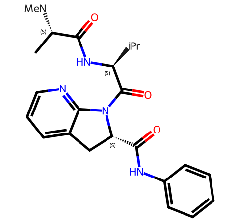 CN[C@@H](C)C(=O)N[C@H](C(=O)N1c2ncccc2C[C@H]1C(=O)Nc1ccccc1)C(C)C